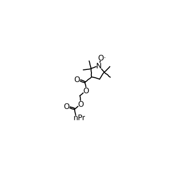 CCCC(=O)OCOC(=O)C1CC(C)(C)N([O])C1(C)C